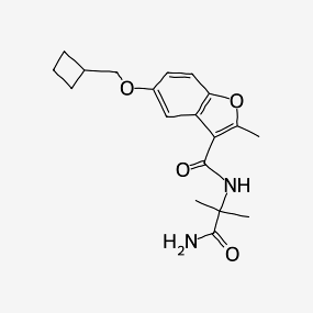 Cc1oc2ccc(OCC3CCC3)cc2c1C(=O)NC(C)(C)C(N)=O